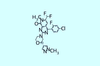 Cn1cc([C@H]2CN(c3nc(-c4ccc(Cl)cc4F)c4cc(C(F)F)n(C)c(=O)c4n3)CCO2)cn1